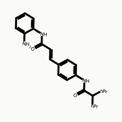 CCCC(CCC)C(=O)Nc1ccc(C=CC(=O)Nc2ccccc2N)cc1